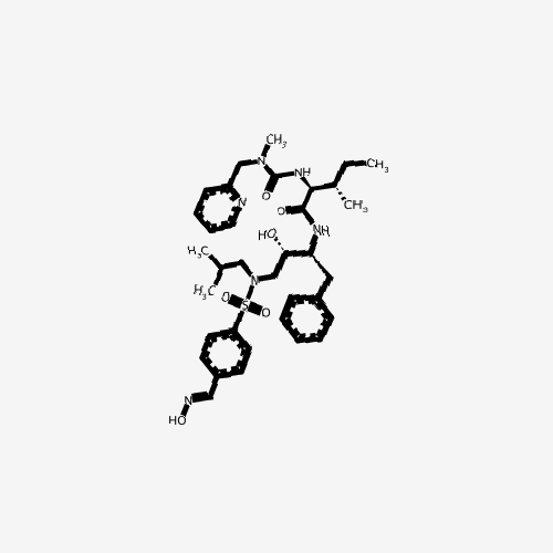 CC[C@H](C)[C@H](NC(=O)N(C)Cc1ccccn1)C(=O)N[C@@H](Cc1ccccc1)[C@@H](O)CN(CC(C)C)S(=O)(=O)c1ccc(C=NO)cc1